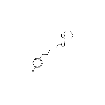 Fc1ccc(C=CCCCOC2CCCCO2)cc1